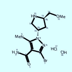 CNc1c(C(N)=O)c(Br)nn1[C@@H]1CN[C@@H](COC)C1.Cl.Cl